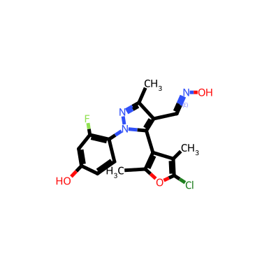 Cc1nn(-c2ccc(O)cc2F)c(-c2c(C)oc(Cl)c2C)c1/C=N/O